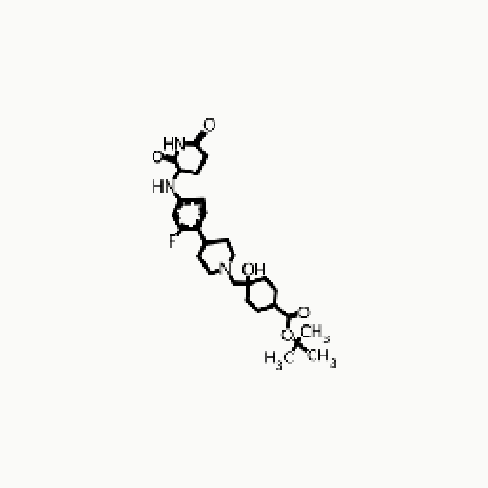 CC(C)(C)OC(=O)C1CCC(O)(CN2CCC(c3ccc(NC4CCC(=O)NC4=O)cc3F)CC2)CC1